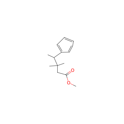 COC(=O)CC(C)(C)C(C)c1ccccc1